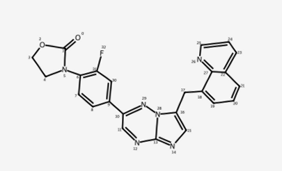 O=C1OCCN1c1ccc(-c2cnc3ncc(Cc4cccc5cccnc45)n3n2)cc1F